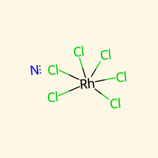 [Cl][Rh]([Cl])([Cl])([Cl])([Cl])[Cl].[N]